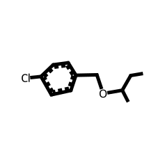 CCC(C)OCc1ccc(Cl)cc1